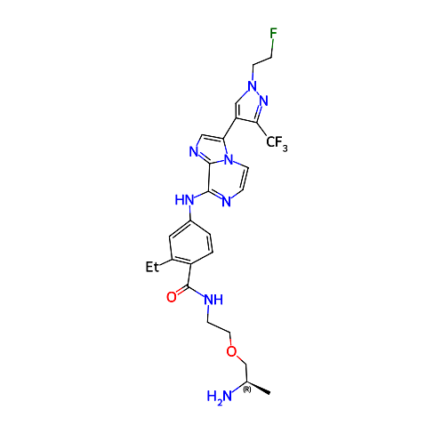 CCc1cc(Nc2nccn3c(-c4cn(CCF)nc4C(F)(F)F)cnc23)ccc1C(=O)NCCOC[C@@H](C)N